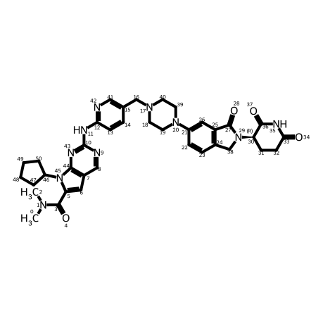 CN(C)C(=O)c1cc2cnc(Nc3ccc(CN4CCN(c5ccc6c(c5)C(=O)N([C@@H]5CCC(=O)NC5=O)C6)CC4)cn3)nc2n1C1CCCC1